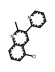 Cc1nc2cccc(Cl)c2cc1-c1ccccn1